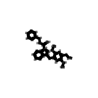 CCOc1nc(CC(C)C)c(OCC)nc1Cc1cn(C(=O)OCc2ccccc2)c2ccccc12